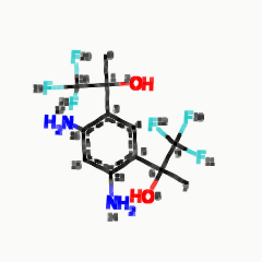 CC(O)(c1cc(C(C)(O)C(F)(F)F)c(N)cc1N)C(F)(F)F